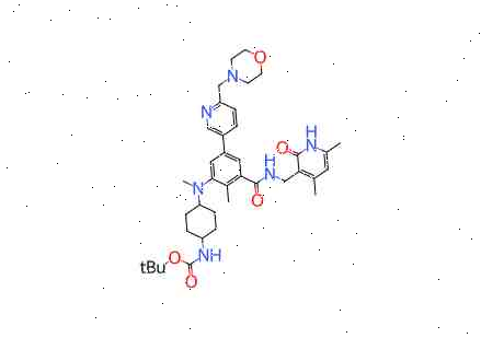 Cc1cc(C)c(CNC(=O)c2cc(-c3ccc(CN4CCOCC4)nc3)cc(N(C)C3CCC(NC(=O)OC(C)(C)C)CC3)c2C)c(=O)[nH]1